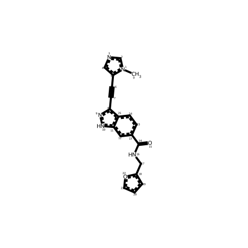 Cn1cncc1C#Cc1n[nH]c2cc(C(=O)NCc3ccco3)ccc12